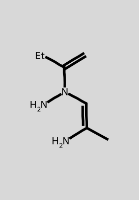 C=C(CC)N(N)/C=C(/C)N